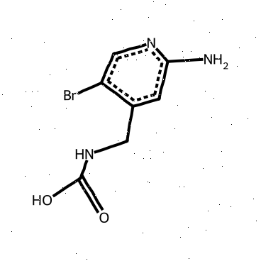 Nc1cc(CNC(=O)O)c(Br)cn1